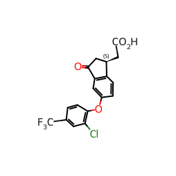 O=C(O)C[C@@H]1CC(=O)c2cc(Oc3ccc(C(F)(F)F)cc3Cl)ccc21